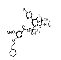 COc1cc(C(=O)NCC(O)(c2cc3c(c(-c4ccc(F)cc4)n2)OC[C@]3(C)C(N)=O)C(F)(F)F)ccc1OCCN1CCCCC1